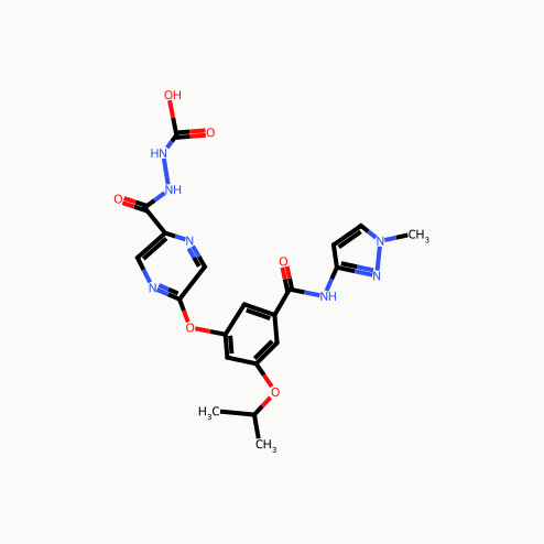 CC(C)Oc1cc(Oc2cnc(C(=O)NNC(=O)O)cn2)cc(C(=O)Nc2ccn(C)n2)c1